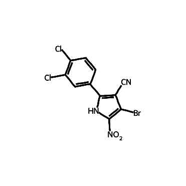 N#Cc1c(-c2ccc(Cl)c(Cl)c2)[nH]c([N+](=O)[O-])c1Br